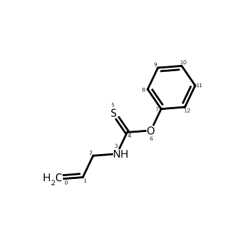 C=CCNC(=S)Oc1ccccc1